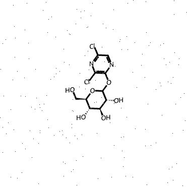 OC[C@H]1OC(Oc2ncc(Cl)nc2Cl)[C@H](O)[C@@H](O)[C@@H]1O